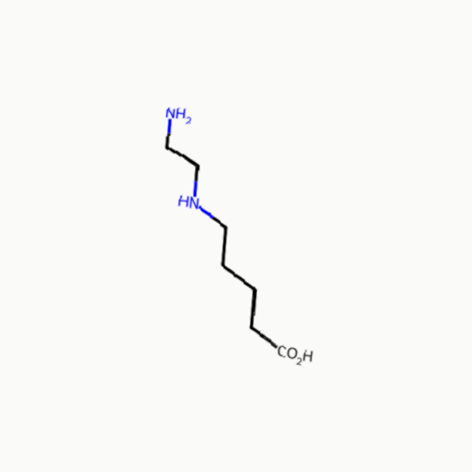 NCCNCCCCC(=O)O